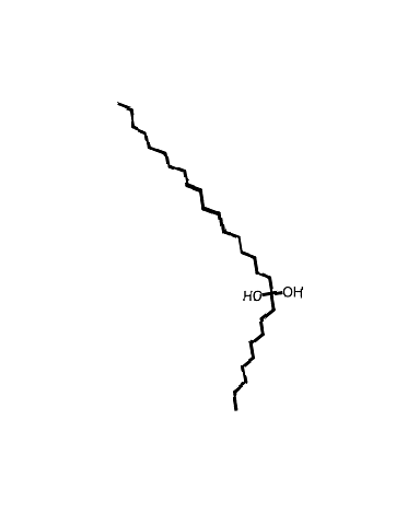 CCCCCCCCCCCCCCCCCCC(O)(O)CCCCCCCCC